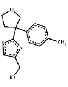 Cc1ccc(C2(c3nc(CO)cs3)CCOC2)cc1